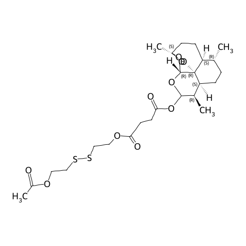 CC(=O)OCCSSCCOC(=O)CCC(=O)OC1O[C@@H]2O[C@]3(C)CC[C@H]4[C@H](C)CC[C@@H]([C@H]1C)[C@@]24OO3